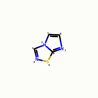 c1cn2cnsc2n1